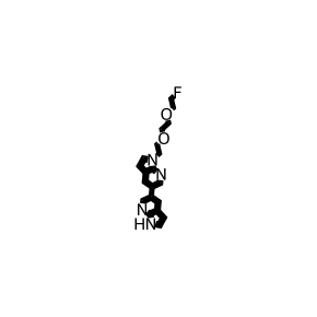 FCCOCCOCCn1ccc2cc(-c3cnc4[nH]ccc4c3)cnc21